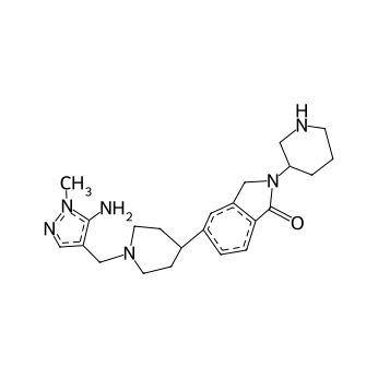 Cn1ncc(CN2CCC(c3ccc4c(c3)CN(C3CCCNC3)C4=O)CC2)c1N